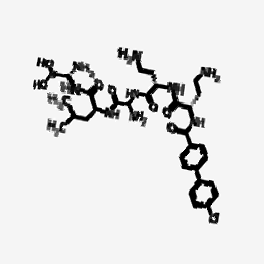 CC(C)C[C@H](NC(=O)[C@H](N)NC(=O)[C@H](CCN)NC(=O)[C@H](CCN)NC(=O)c1ccc(-c2ccc(Cl)cc2)cc1)C(=O)N[C@@H](N)B(O)O